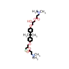 CN(C)CCC(=O)OCC(O)COc1ccc(C(C)(C)c2ccc(OCC(CCl)OC(=O)CCN(C)C)cc2)cc1